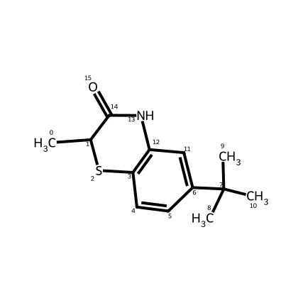 CC1Sc2ccc(C(C)(C)C)cc2NC1=O